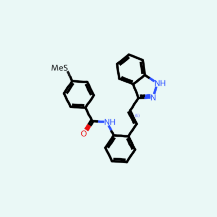 CSc1ccc(C(=O)Nc2ccccc2/C=C/c2n[nH]c3ccccc23)cc1